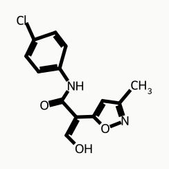 Cc1cc(C(=CO)C(=O)Nc2ccc(Cl)cc2)on1